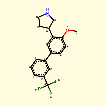 COc1ccc(-c2cccc(C(F)(F)F)c2)cc1C1CCNC1